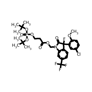 COc1ccc(Cl)cc1C1(F)C(=O)N(COC(=O)CCOP(=O)(OC(C)(C)C)OC(C)(C)C)c2cc(C(F)(F)F)ccc21